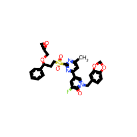 Cc1cc(-c2cc(F)c(=O)n(Cc3ccc4c(c3)OCO4)c2)nc(S(=O)(=O)CCC(OCC2CO2)c2ccccc2)n1